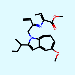 C=C/C(Cn1c(C(C)CC)cc2c1=C=CC=C(OC)C=2)=N\C(=C/C)C(=O)OC